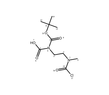 CN(CCN(C(=O)O)C(=O)OC(C)(C)C)C(=O)Cl